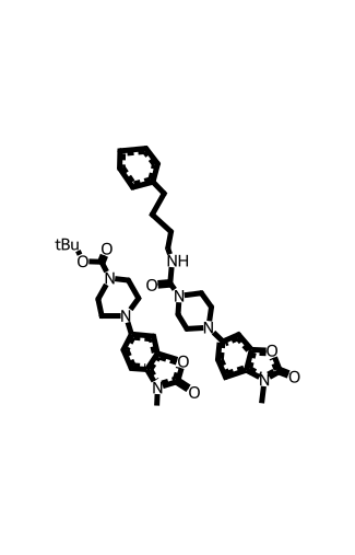 Cn1c(=O)oc2cc(N3CCN(C(=O)NCCCCc4ccccc4)CC3)ccc21.Cn1c(=O)oc2cc(N3CCN(C(=O)OC(C)(C)C)CC3)ccc21